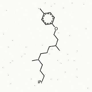 [CH2]c1ccc(OCCC(C)CCCC(C)CCCC(C)C)cc1